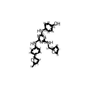 Cc1ccc(-c2ccc(Nc3nc(NCc4ccco4)nc(Nc4ccc(O)cc4)n3)cc2)o1